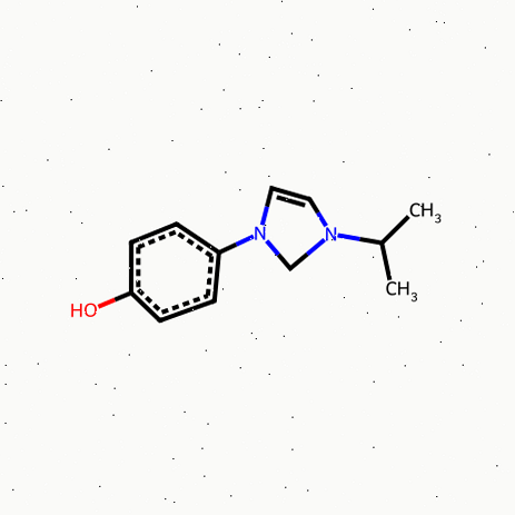 CC(C)N1C=CN(c2ccc(O)cc2)C1